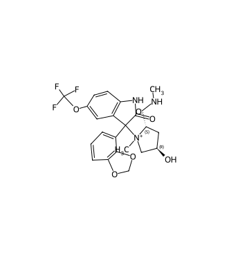 CNC(=O)[C@@H]1C[C@@H](O)C[N+]1(C)C1(c2cccc3c2OCO3)C(=O)Nc2ccc(OC(F)(F)F)cc21